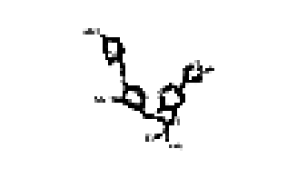 CCN(C(=O)O)c1nc2cc(-c3cnn(C)c3)cnc2n1Cc1ccc(OCc2ccc(OC)cc2)c(OC)c1